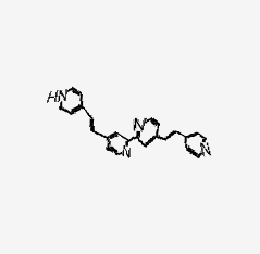 C1=CC(/C=C/c2ccnc(-c3cc(/C=C/c4ccncc4)ccn3)c2)=CCN1